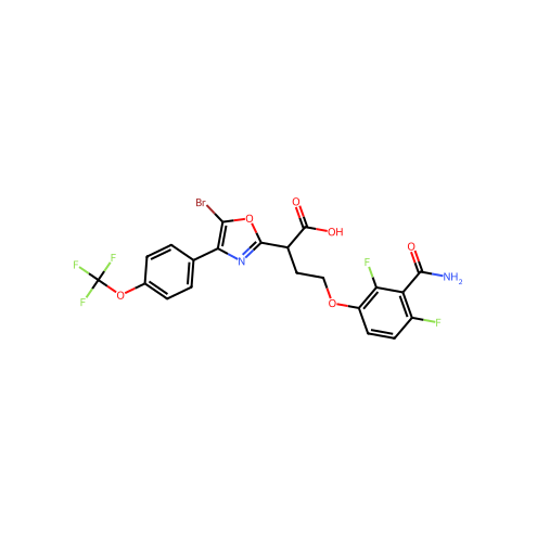 NC(=O)c1c(F)ccc(OCCC(C(=O)O)c2nc(-c3ccc(OC(F)(F)F)cc3)c(Br)o2)c1F